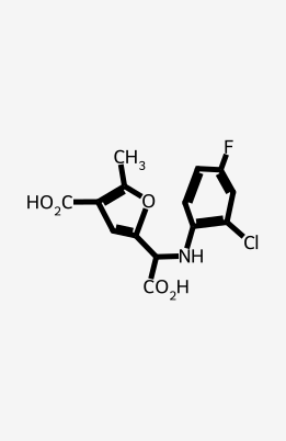 Cc1oc(C(Nc2ccc(F)cc2Cl)C(=O)O)cc1C(=O)O